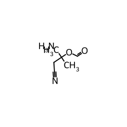 CC(C)(CC#N)OC=O.N